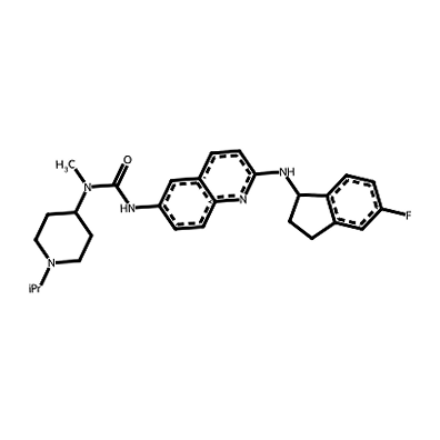 CC(C)N1CCC(N(C)C(=O)Nc2ccc3nc(NC4CCc5cc(F)ccc54)ccc3c2)CC1